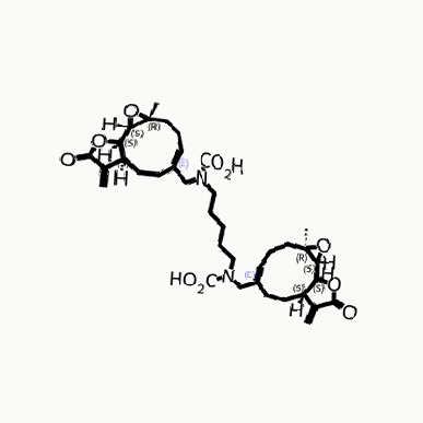 C=C1C(=O)O[C@H]2[C@H]1CC/C(CN(CCCCCN(C/C1=C/CC[C@@]3(C)O[C@H]3[C@H]3OC(=O)C(=C)[C@@H]3CC1)C(=O)O)C(=O)O)=C\CC[C@@]1(C)O[C@@H]21